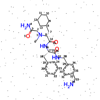 CN(CC(N)=O)[C@H](CC1CCCCC1)C(=O)N[C@@H](Cc1ccccc1)C(=O)NCc1ccc(CN)cc1